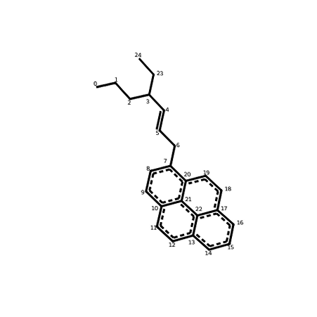 CCCC(C=CCc1ccc2ccc3cccc4ccc1c2c34)CC